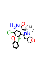 C[C@@H](CC(N)=O)N[C@@H](CC1CCOCC1)c1ccc(Cl)c(Oc2ccccc2)c1F